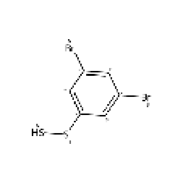 SSc1cc(Br)cc(Br)c1